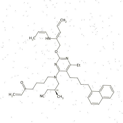 C=C/C=C(/COc1nc(CC)c(CCCCc2cccc3ccccc23)c(N(CCCCC(=O)C=C)C[C@@H](C)CC#N)n1)N/C=C\C